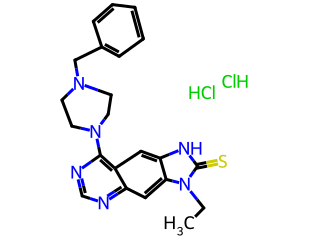 CCn1c(=S)[nH]c2cc3c(N4CCN(Cc5ccccc5)CC4)ncnc3cc21.Cl.Cl